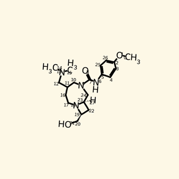 COc1ccc(NC(=O)N2CC(CN(C)C)CCN3[C@H](CO)C[C@@H]3C2)cc1